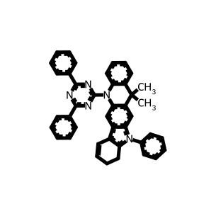 CC1(C)c2ccccc2N(c2nc(-c3ccccc3)nc(-c3ccccc3)n2)c2cc3c4c(n(-c5ccccc5)c3cc21)CCC=C4